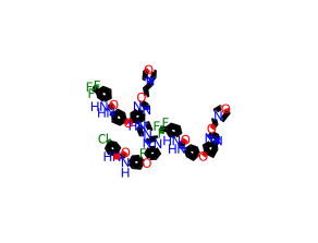 O=C(Nc1ccc(Cl)cc1)Nc1ccc(Oc2ccc3ncc(N4CCNCC4)nc3c2)c(F)c1.O=C(Nc1ccc(Oc2ccc3ncc(OCCCN4CCOCC4)nc3c2)cc1)Nc1cccc(C(F)(F)F)c1.O=C(Nc1ccc(Oc2ccc3ncc(OCCN4CCOCC4)nc3c2)cc1)Nc1cccc(C(F)(F)F)c1